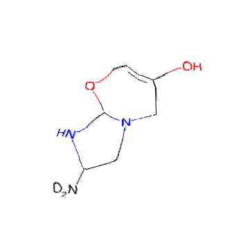 O=[N+]([O-])C1CN2CC(O)=COC2N1